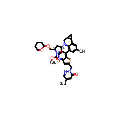 CC(C)(C)OC(=O)N1C[C@H](N2CC3CC3c3cc(C#N)cc(-c4ccnc5cc(Cn6ncc(C(C)(C)C)cc6=O)sc45)c32)C[C@@H]1COC1CCCCO1